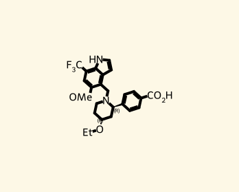 CCO[C@@H]1CCN(Cc2c(OC)cc(C(F)(F)F)c3[nH]ccc23)[C@@H](c2ccc(C(=O)O)cc2)C1